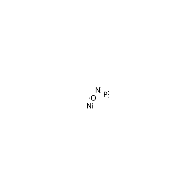 [N].[Ni].[O].[P]